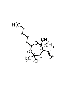 CCCCCC1OC(C)(C)CC(C=O)C(C)(C)O1